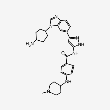 CN1CCC(Nc2ccc(C(=O)Nc3cc(-c4ccc5ncn(C6CCC(N)CC6)c5c4)n[nH]3)cc2)CC1